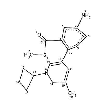 CSC(=O)c1cc(N)ccc1C1=CN(C2CCC2)CC(C)=C1